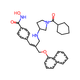 O=C(NO)c1ccc(C=C(CNC2CCN(C(=O)C3CCCCC3)C2)COc2cccc3ccccc23)cc1